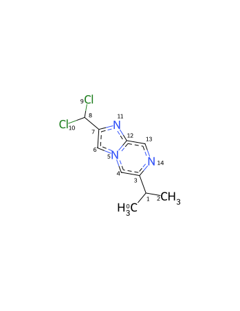 CC(C)c1cn2cc(C(Cl)Cl)nc2cn1